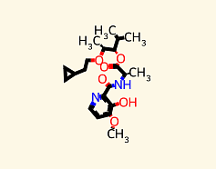 COc1ccnc(C(=O)N[C@@H](C)C(=O)O[C@H](C(C)C)[C@H](C)OCCC2CC2)c1O